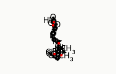 CCc1cccc2cc(OCOC)cc(-c3ncc4c(N(C)[C@@H]5C[C@H]5F)nc(OCC5(CN6CCC(CN7CCN(c8ccc9c(c8)CN([C@H]8CCC(=O)NC8=O)C9=O)CC7)CC6)CC5)nc4c3F)c12